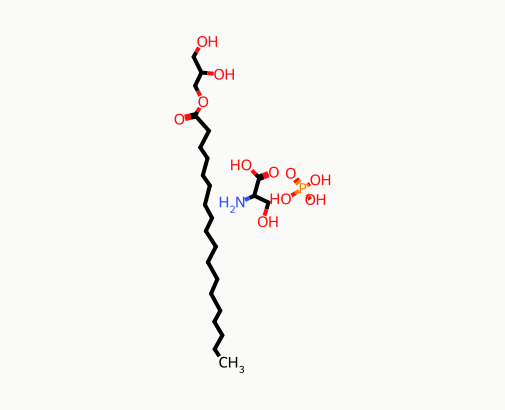 CCCCCCCCCCCCCCCCCC(=O)OCC(O)CO.NC(CO)C(=O)O.O=P(O)(O)O